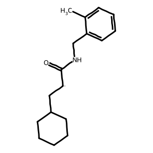 Cc1ccccc1CNC(=O)[CH]CC1CCCCC1